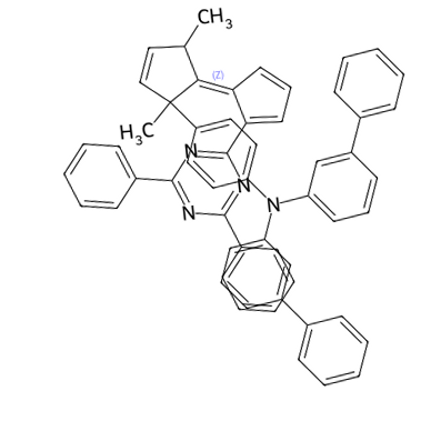 CC1C=CC(C)(c2ccc(N(c3cccc(-c4ccccc4)c3)c3cccc(-c4ccccc4)c3)cc2)/C1=C1/C=CC=C1c1nc(-c2ccccc2)nc(-c2ccccc2)n1